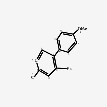 COc1ccc(-c2cnc(Cl)cc2F)cc1